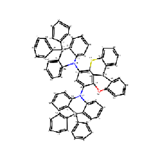 c1ccc([Si]2(c3ccccc3)c3ccccc3N(c3cc(N4c5ccccc5[Si](c5ccccc5)(c5ccccc5)c5ccccc54)c4c5c3Oc3ccccc3B5c3ccccc3S4)c3ccccc32)cc1